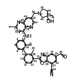 Cc1nc(Nc2cccc(-c3cccc(-c4nc5cc(C=O)cc(C#N)c5o4)c3C)c2C)c2ncc(CN3CC[C@](C)(O)C3)cc2n1